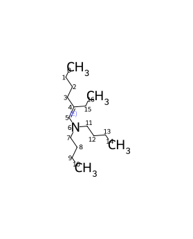 CCCC/C(=C/N(CCCC)CCCC)CC